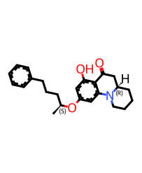 C[C@@H](CCCc1ccccc1)Oc1cc(O)c2c(c1)N1CCCC[C@@H]1CC2=O